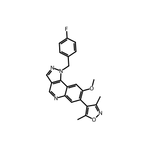 COc1cc2c(cc1-c1c(C)noc1C)ncc1cnn(Cc3ccc(F)cc3)c12